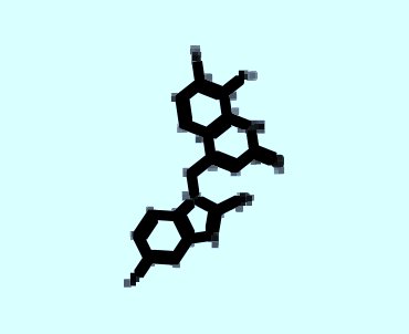 CC(C)c1nc2cc(F)ccc2n1Cc1cc(=O)[nH]c2c(F)c(F)ccc12